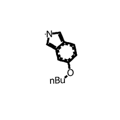 CCCCOc1ccc2c(c1)=C[N]C=2